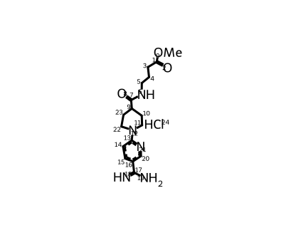 COC(=O)CCCNC(=O)C1CCN(c2ccc(C(=N)N)cn2)CC1.Cl